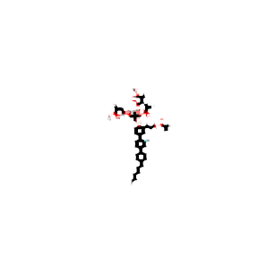 C=C(C)C(=O)OCCCc1cc(-c2ccc(C3CCC(CCCCCC)CC3)cc2F)ccc1OCC(COC(=O)CC(=C)C(=O)OC)(COC(=O)CC(=C)C(=O)OC)COC(=O)C(=C)C